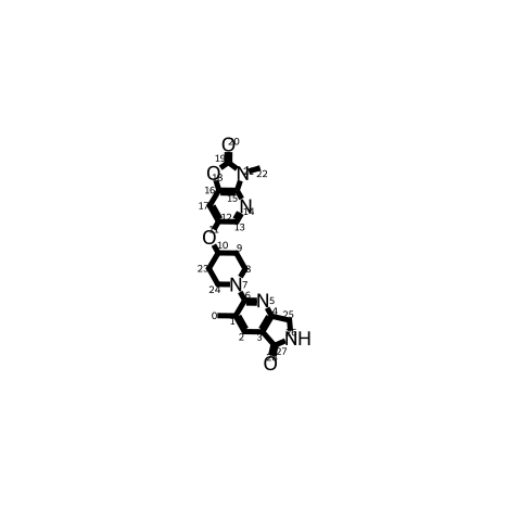 Cc1cc2c(nc1N1CCC(Oc3cnc4c(c3)oc(=O)n4C)CC1)CNC2=O